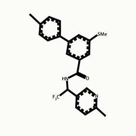 CSc1cc(C(=O)NC(c2ccc(C)nc2)C(F)(F)F)cc(-c2ccc(C)cc2)c1